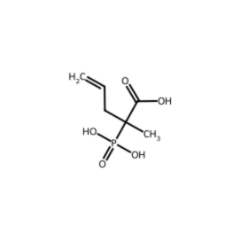 C=CCC(C)(C(=O)O)P(=O)(O)O